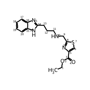 CCOC(=O)c1csc(CNCCCc2nc3ccccc3[nH]2)n1